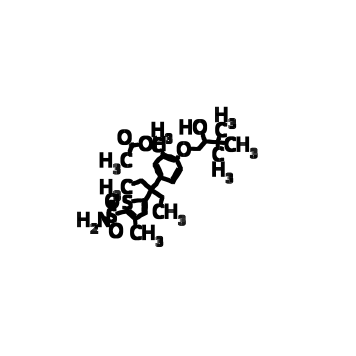 CC(=O)O.CCC(CC)(c1ccc(OCC(O)C(C)(C)C)c(C)c1)c1cc(C)c(S(N)(=O)=O)s1